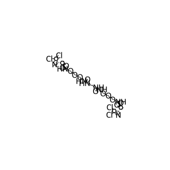 CN1Cc2c(Cl)cc(Cl)cc2[C@H](c2cccc(S(=O)(=O)NCCOCCOCCOCCNC(=O)NCCCCNC(=O)NCCOCCOCCOCCNS(=O)(=O)c3cccc([C@@H]4CN(C)Cc5c(Cl)cc(Cl)cc54)c3)c2)C1